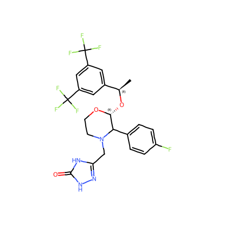 C[C@@H](O[C@H]1OCCN(Cc2n[nH]c(=O)[nH]2)C1c1ccc(F)cc1)c1cc(C(F)(F)F)cc(C(F)(F)F)c1